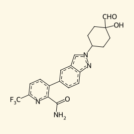 NC(=O)c1nc(C(F)(F)F)ccc1-c1ccc2nn(C3CCC(O)(C=O)CC3)cc2c1